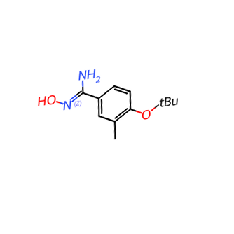 Cc1cc(/C(N)=N/O)ccc1OC(C)(C)C